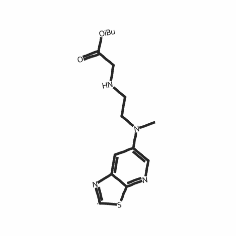 CC(C)COC(=O)CNCCN(C)c1cnc2s[c]nc2c1